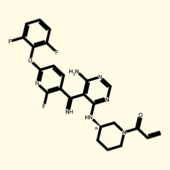 C=CC(=O)N1CCC[C@@H](Nc2ncnc(N)c2C(=N)c2ccc(Oc3c(F)cccc3F)nc2F)C1